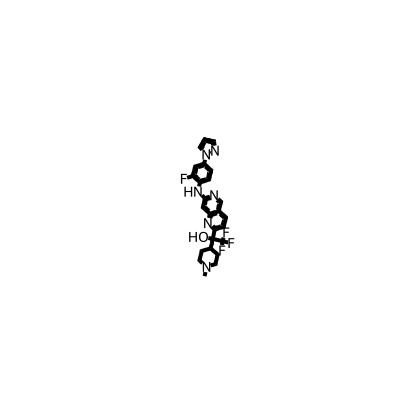 CN1CCC(C(O)(c2ccc3cnc(Nc4ccc(-n5cccn5)cc4F)cc3n2)C(F)(F)F)CC1